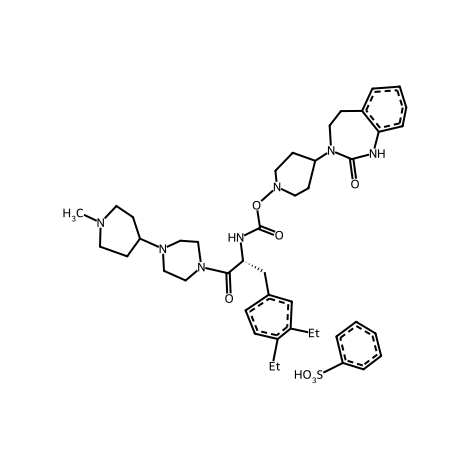 CCc1ccc(C[C@@H](NC(=O)ON2CCC(N3CCc4ccccc4NC3=O)CC2)C(=O)N2CCN(C3CCN(C)CC3)CC2)cc1CC.O=S(=O)(O)c1ccccc1